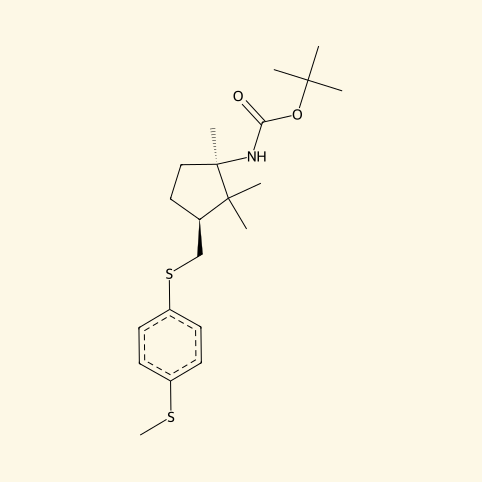 CSc1ccc(SC[C@H]2CC[C@@](C)(NC(=O)OC(C)(C)C)C2(C)C)cc1